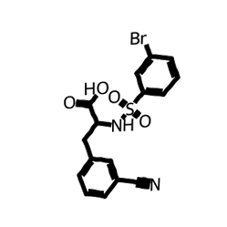 N#Cc1cccc(CC(NS(=O)(=O)c2cccc(Br)c2)C(=O)O)c1